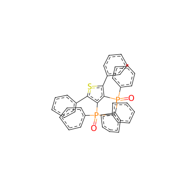 O=P(c1ccccc1)(c1ccccc1)c1c(-c2ccccc2)sc(-c2ccccc2)c1P(=O)(c1ccccc1)c1ccccc1